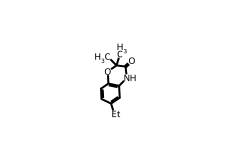 CCc1ccc2c(c1)NC(=O)C(C)(C)O2